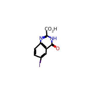 O=C(O)c1nc2ccc(I)cc2c(=O)[nH]1